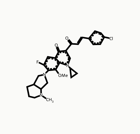 COc1c(N2CC3CCCN(C)C3C2)c(F)cc2c(=O)c(C(=O)C=Cc3ccc(Cl)cc3)cn(C3CC3)c12